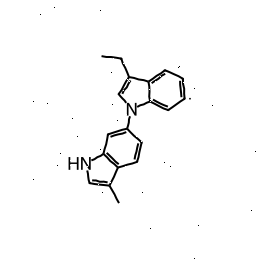 CCc1cn(-c2ccc3c(C)c[nH]c3c2)c2c[c]ccc12